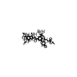 Br.CCOC(=O)CCCOc1c(N2CCC(=O)CC2)cc(C(=O)CN2Cc3c(cc(C(=O)NC)c(OCC)c3F)C2=N)cc1C(C)(C)C